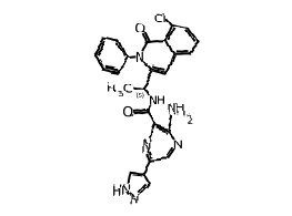 C[C@H](NC(=O)c1nc(-c2cn[nH]c2)cnc1N)c1cc2cccc(Cl)c2c(=O)n1-c1ccccc1